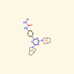 CCNC(=O)Nc1ccc(-c2nc(N3CC4CCC(C3)O4)nc(N3CC4CCC(C3)O4)n2)cc1